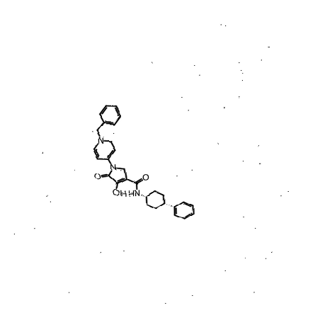 O=C(N[C@H]1CC[C@@H](c2ccccc2)CC1)C1=C(O)C(=O)N(C2=CCN(Cc3ccccc3)C=C2)C1